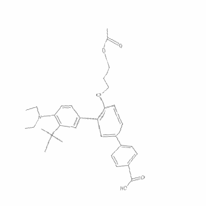 CCN(CC)c1ccc(-c2cc(-c3ccc(C(=O)O)cc3)ccc2OCCCOC(C)=O)cc1C(C)(C)C